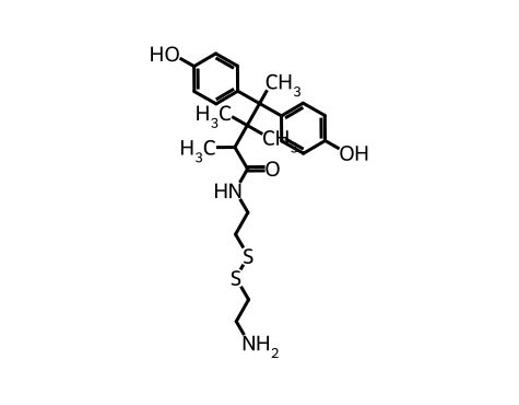 CC(C(=O)NCCSSCCN)C(C)(C)C(C)(c1ccc(O)cc1)c1ccc(O)cc1